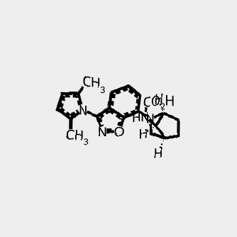 Cc1ccc(C)n1-c1noc2c(N3C[C@@H]4CC[C@H]3[C@@H]4NC(=O)O)cccc12